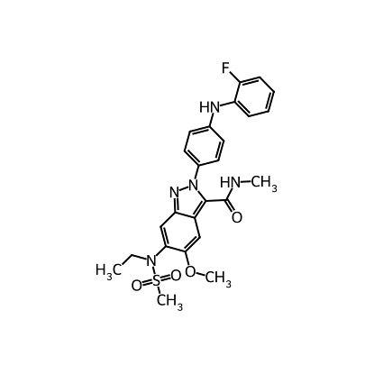 CCN(c1cc2nn(-c3ccc(Nc4ccccc4F)cc3)c(C(=O)NC)c2cc1OC)S(C)(=O)=O